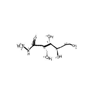 NNC(=O)[C@@H](O)[C@H](O)[C@H](O)CO